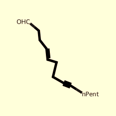 CCCCCC#CCCC=CCCC=O